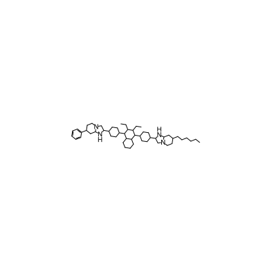 CCCCCCC1CCN2CC(C3CCC(C4C(CC)C(CC)C(C5CCC(C6CN7CCC(c8ccccc8)CC7N6)CC5)C5CCCCC54)CC3)NC2C1